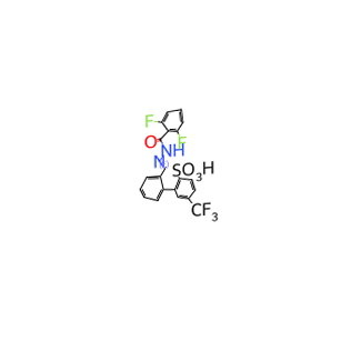 O=C(N/N=C/c1ccccc1-c1cc(C(F)(F)F)ccc1S(=O)(=O)O)c1c(F)cccc1F